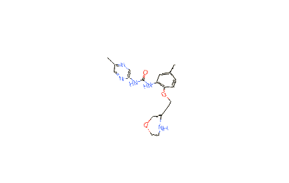 Cc1ccc(OCC2COCCN2)c(NC(=O)Nc2cnc(C)cn2)c1